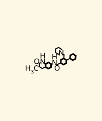 CC1Cc2ccc(NC(=O)c3ccc(-c4ccccc4)c(CN4CCCCC4)c3)cc2NC1=O